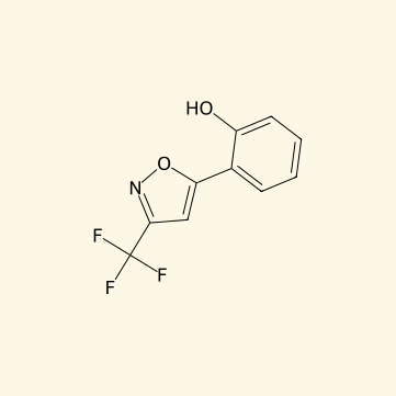 Oc1ccccc1-c1cc(C(F)(F)F)no1